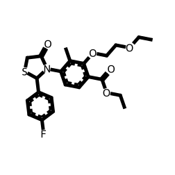 CCOCCOc1c(C(=O)OCC)ccc(N2C(=O)CSC2c2ccc(F)cc2)c1C